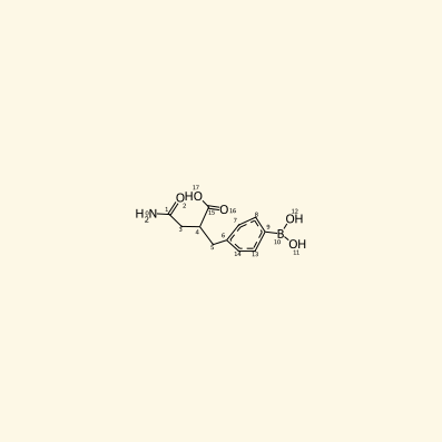 NC(=O)CC(Cc1ccc(B(O)O)cc1)C(=O)O